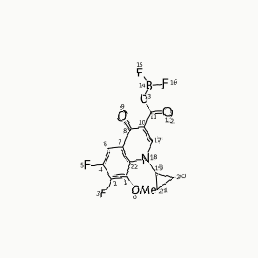 COc1c(F)c(F)cc2c(=O)c(C(=O)OB(F)F)cn(C3CC3)c12